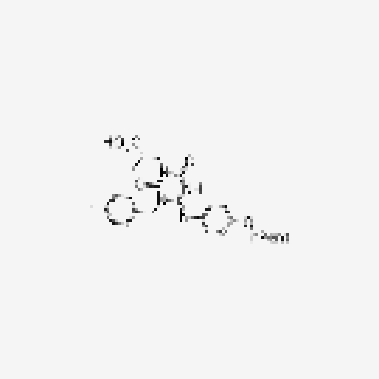 CCCCCOc1ccc(/N=c2\[nH]c(=O)n(C[C@H](C)C(=O)O)c(=O)n2Cc2ccc(C)cc2)cc1